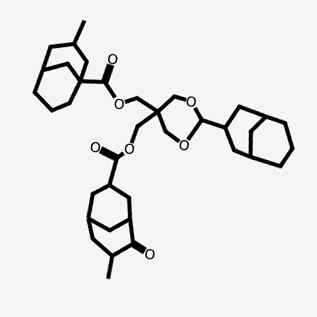 CC1CC2CCCC(C(=O)OCC3(COC(=O)C4CC5CC(C)C(=O)C(C5)C4)COC(C4CC5CCCC(C5)C4)OC3)(C1)C2